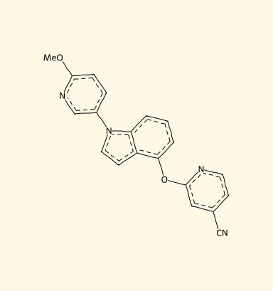 COc1ccc(-n2ccc3c(Oc4cc(C#N)ccn4)cccc32)cn1